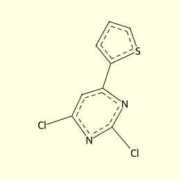 Clc1cc(-c2cccs2)nc(Cl)n1